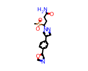 CS(=O)(=O)C(CCC(N)=O)n1cc(-c2ccc(-c3cnco3)cc2)cn1